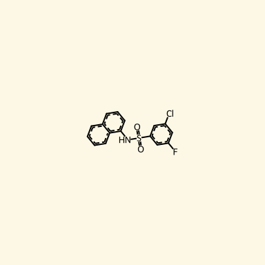 O=S(=O)(Nc1cccc2ccccc12)c1cc(F)cc(Cl)c1